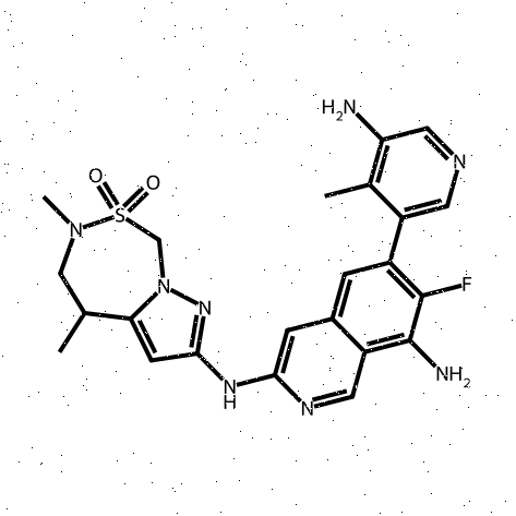 Cc1c(N)cncc1-c1cc2cc(Nc3cc4n(n3)CS(=O)(=O)N(C)CC4C)ncc2c(N)c1F